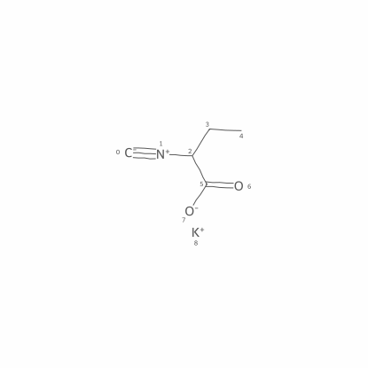 [C-]#[N+]C(CC)C(=O)[O-].[K+]